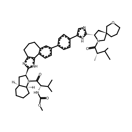 COC(=O)N[C@H](C(=O)N1[C@H](c2nc3c([nH]2)-c2ccc(-c4ccc(-c5cnc([C@@H]6C[C@@]7(CCCOC7)CN6C(=O)[C@@H](C)C(C)C)[nH]5)cc4)cc2CCC3)C[C@@H]2CCCC[C@@H]21)C(C)C